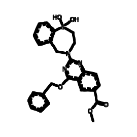 COC(=O)c1ccc2nc(N3CCS(O)(O)c4ccccc4C3)nc(OCc3ccccc3)c2c1